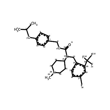 CC(C)Oc1ccc(COC(=O)N(Cc2ccc(F)cc2C(F)(F)F)C2CCN(C)CC2)cc1